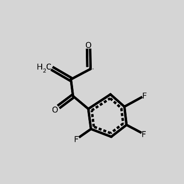 C=C([C]=O)C(=O)c1cc(F)c(F)cc1F